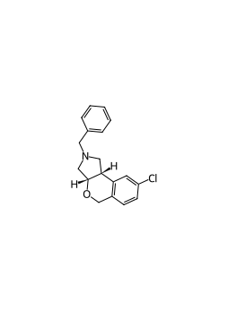 Clc1ccc2c(c1)[C@H]1CN(Cc3ccccc3)C[C@H]1OC2